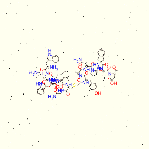 CCCC[C@@H](C(=O)N(C)[C@@H](CCCC)C(=O)N[C@@H](CC(C)C)C(=O)N[C@@H](CSCC(=O)N[C@@H](Cc1ccc(O)cc1)C(=O)N(C)[C@@H](C)C(=O)N[C@@H](CC(N)=O)C(=O)N1CCC[C@H]1C(=O)NC1(C(=O)N[C@@H](CC(C)C)C(=O)N2C[C@H](O)C[C@H]2C(C)=O)Cc2ccccc2C1)C(=O)NCC(N)=O)N(C)C(=O)[C@H](Cc1c[nH]c2ccccc12)NC(=O)[C@H](CCN)NC(=O)[C@@H](N)Cc1c[nH]c2ccccc12